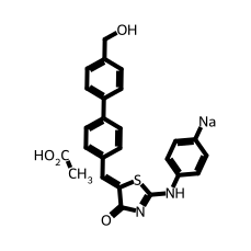 CC(=O)O.O=C1N=C(Nc2cc[c]([Na])cc2)SC1=Cc1ccc(-c2ccc(CO)cc2)cc1